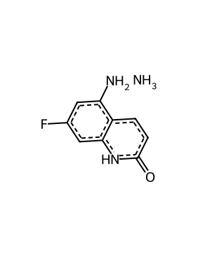 N.Nc1cc(F)cc2[nH]c(=O)ccc12